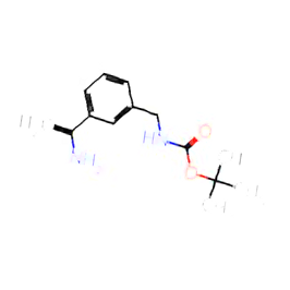 C=C(N)c1cccc(CNC(=O)OC(C)(C)C)c1